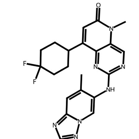 Cc1cc2ncnn2cc1Nc1ncc2c(n1)c(C1CCC(F)(F)CC1)cc(=O)n2C